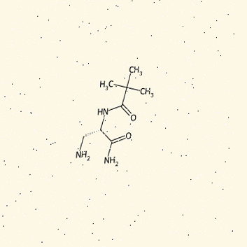 CC(C)(C)C(=O)N[C@@H](CN)C(N)=O